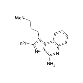 CCCc1nc2c(N)nc3ccccc3c2n1CCCNC